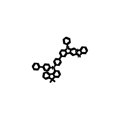 CC1(C)c2ccccc2-c2c(N(c3ccc(-c4ccccc4)cc3)c3ccc(-c4ccc5c(c4)c4cc6nc7ccccc7n6cc4n5-c4ccccc4)cc3)cccc21